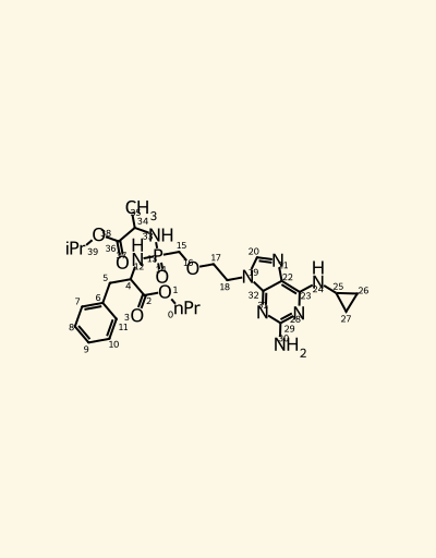 CCCOC(=O)C(Cc1ccccc1)NP(=O)(COCCn1cnc2c(NC3CC3)nc(N)nc21)NC(C)C(=O)OC(C)C